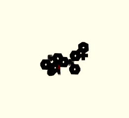 CC1(C)c2ccccc2-c2ccc(N(c3ccccc3)c3ccc4c5c(ccc4c3)Sc3ccccc3C53c4ccccc4-c4ccccc43)cc21